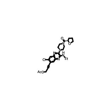 CCNc1nc2cc(C#CCOC(C)=O)c(Cl)cc2nc1N1CCN(C(=O)[C@H]2CCCO2)CC1